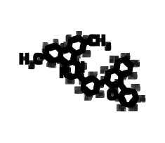 Cc1ccc2c3ccc(C)cc3c3nc(-c4cccc(-c5cc6ccccc6c6c5oc5ccccc56)c4)cnc3c2c1